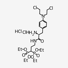 CCOP(=O)(OCC)C(CCNC(=O)[C@@H](N)Cc1ccc(N(CCCl)CCCl)cc1)P(=O)(OCC)OCC.Cl.Cl